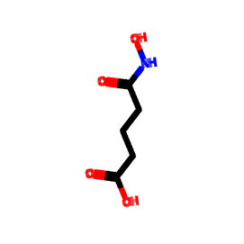 O=C(O)CCCC(=O)NO